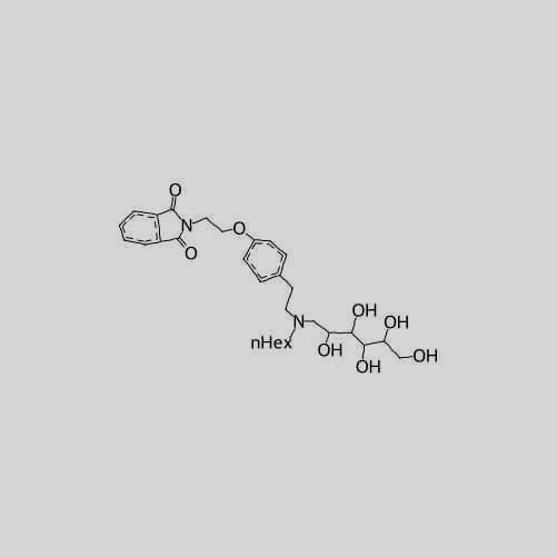 CCCCCCN(CCc1ccc(OCCN2C(=O)c3ccccc3C2=O)cc1)CC(O)C(O)C(O)C(O)CO